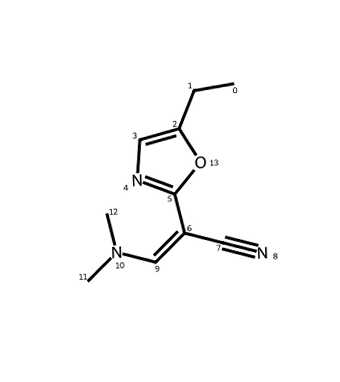 CCc1cnc(/C(C#N)=C\N(C)C)o1